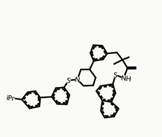 C=C(NSc1ccc2ccccc2c1)C(C)(C)Cc1cccc(C2CCCN(Sc3cccc(-c4ccc(C(C)C)cc4)c3)C2)c1